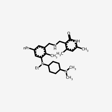 CCCc1cc(CNCc2c(C)cc(C)[nH]c2=O)c(C)c(N(CC)C2CCC(N(C)C)CC2)c1